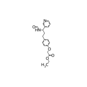 CCOC(=O)COc1ccc(CCC(NC=O)c2cccnc2)cc1